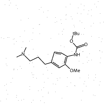 COc1cc(CCCN(C)C)ccc1NC(=O)OC(C)(C)C